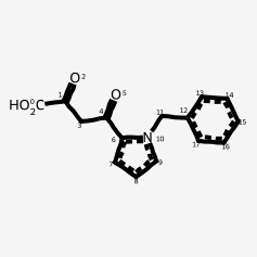 O=C(O)C(=O)CC(=O)c1cccn1Cc1ccccc1